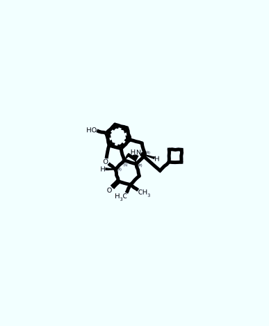 CC1(C)C[C@H]2[C@H]3Cc4ccc(O)c5c4[C@@]2(CCN3CC2CCC2)[C@@H](O5)C1=O